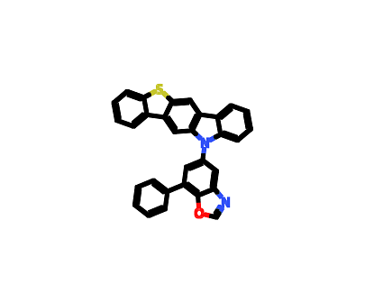 c1ccc(-c2cc(-n3c4ccccc4c4cc5sc6ccccc6c5cc43)cc3ncoc23)cc1